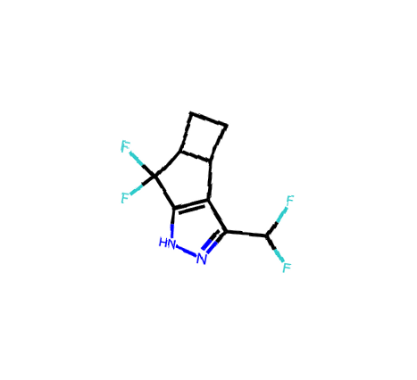 FC(F)c1n[nH]c2c1C1CCC1C2(F)F